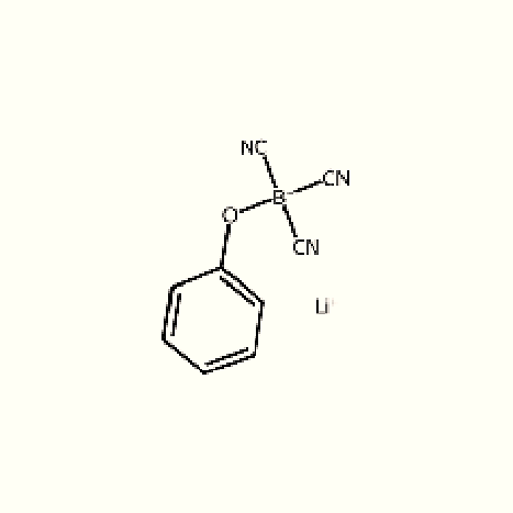 N#C[B-](C#N)(C#N)Oc1ccccc1.[Li+]